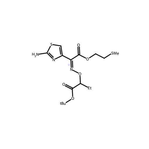 CCC(O/N=C(\C(=O)OCCSC)c1csc(N)n1)C(=O)OC(C)(C)C